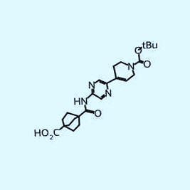 CC(C)(C)OC(=O)N1CC=C(c2cnc(NC(=O)C34CCC(C(=O)O)(CC3)CC4)cn2)CC1